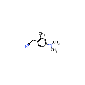 Cc1cc(N(C)C)ccc1CC#N